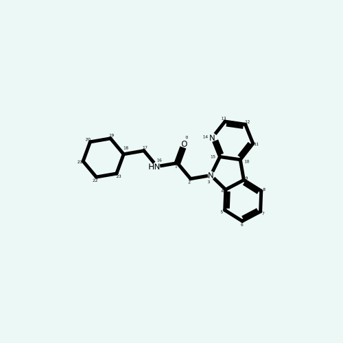 O=C(Cn1c2ccccc2c2cccnc21)NCC1CCCCC1